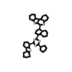 c1ccc(-c2nc(-c3ccc(-c4nc5ccccc5c5c4sc4ccccc45)c4ccccc34)nc(-c3cccc4c3sc3ccccc34)n2)cc1